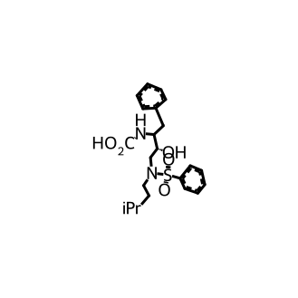 CC(C)CCN(C[C@@H](O)C(Cc1ccccc1)NC(=O)O)S(=O)(=O)c1ccccc1